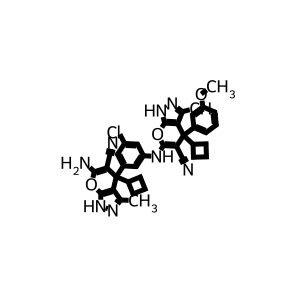 COc1cccc(C2(C3CCC3)C(C#N)=C(Nc3cc(Cl)cc(C4(C5CCC5)C(C#N)=C(N)Oc5[nH]nc(C)c54)c3)Oc3[nH]nc(C)c32)c1